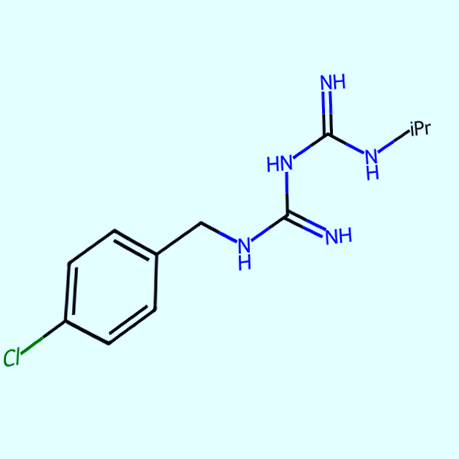 CC(C)NC(=N)NC(=N)NCc1ccc(Cl)cc1